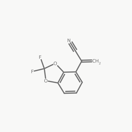 C=C(C#N)c1cccc2c1OC(F)(F)O2